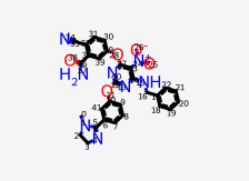 CN1CCN=C1c1cccc(Oc2nc(NCc3ccccc3)c([N+](=O)[O-])c(Oc3ccc(C#N)c(C(N)=O)c3)n2)c1